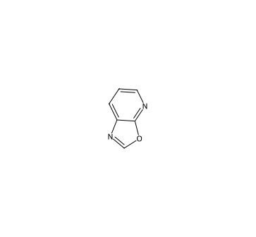 c1cnc2ocnc2c1